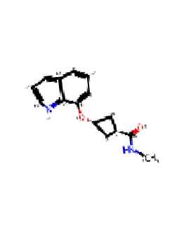 CNC(=O)[C@H]1C[C@H](Oc2cccc3cccnc23)C1